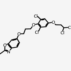 Cc1nc2ccc(OCCCOc3c(Cl)cc(OCCC(Cl)Cl)cc3Cl)cc2o1